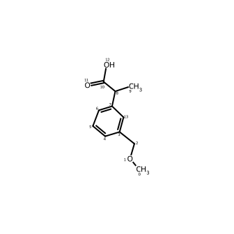 COCc1cccc(C(C)C(=O)O)c1